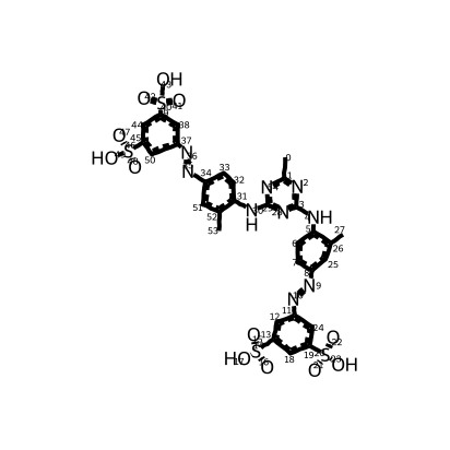 Cc1nc(Nc2ccc(N=Nc3cc(S(=O)(=O)O)cc(S(=O)(=O)O)c3)cc2C)nc(Nc2ccc(N=Nc3cc(S(=O)(=O)O)cc(S(=O)(=O)O)c3)cc2C)n1